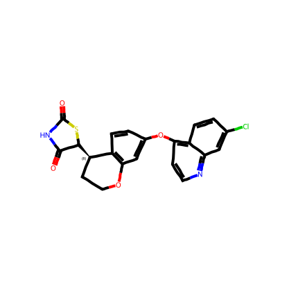 O=C1NC(=O)C([C@@H]2CCOc3cc(Oc4ccnc5cc(Cl)ccc45)ccc32)S1